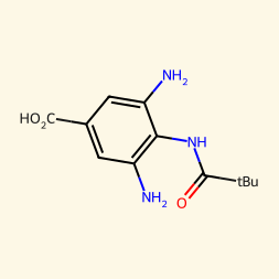 CC(C)(C)C(=O)Nc1c(N)cc(C(=O)O)cc1N